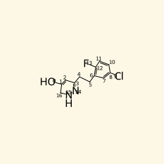 OC1=CC(CCc2cc(Cl)ccc2F)=NNC1